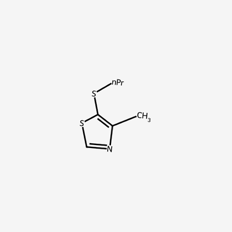 [CH2]CCSc1scnc1C